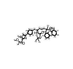 CON(C)C(=O)c1nc(-c2ccc(C[C@@H](CCCC(C)(C)[Si](O)(c3ccccc3)c3ccccc3)NC(=O)OC(C)(C)C)cc2)cn1C